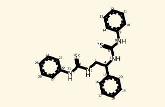 S=C(NCC(NC(=S)Nc1ccccc1)c1ccccc1)Nc1ccccc1